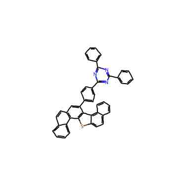 c1ccc(-c2nc(-c3ccccc3)nc(-c3ccc(-c4cc5ccc6ccccc6c5c5sc6ccc7ccccc7c6c45)cc3)n2)cc1